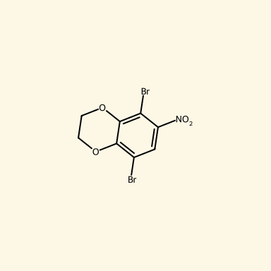 O=[N+]([O-])c1cc(Br)c2c(c1Br)OCCO2